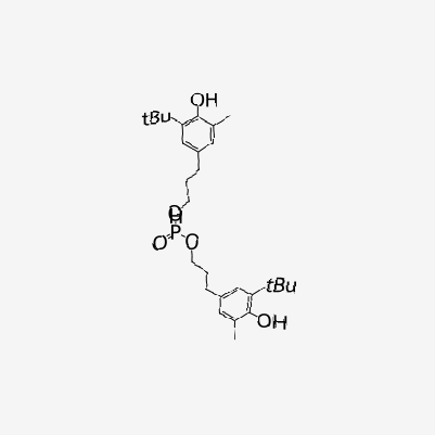 Cc1cc(CCCO[PH](=O)OCCCc2cc(C)c(O)c(C(C)(C)C)c2)cc(C(C)(C)C)c1O